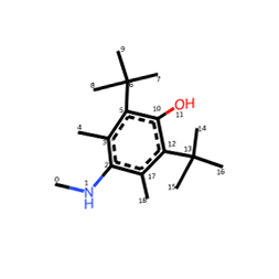 CNc1c(C)c(C(C)(C)C)c(O)c(C(C)(C)C)c1C